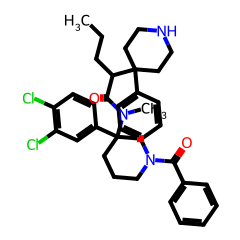 CCCC(C(=O)N(C)C1(c2ccc(Cl)c(Cl)c2)CCCN(C(=O)c2ccccc2)C1)C1(c2ccccc2)CCNCC1